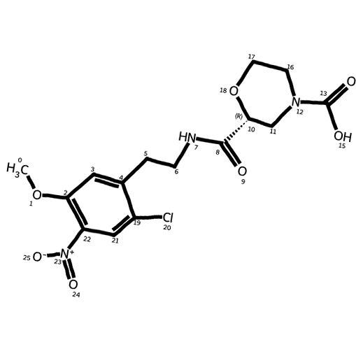 COc1cc(CCNC(=O)[C@H]2CN(C(=O)O)CCO2)c(Cl)cc1[N+](=O)[O-]